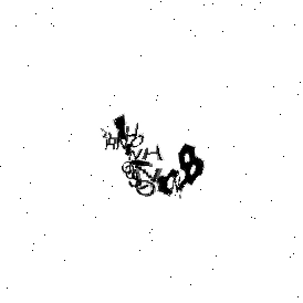 [2H]C([2H])(C#C)NC(=O)CNC(=O)CN(C1CCN([C@@H](C)c2cccc3ccccc23)CC1)S(C)(=O)=O